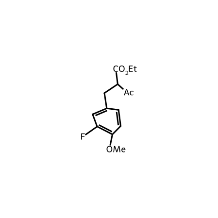 CCOC(=O)C(Cc1ccc(OC)c(F)c1)C(C)=O